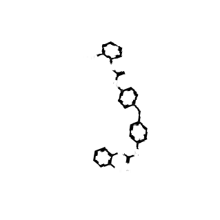 CCCCCc1ccccc1SC(=S)Nc1ccc(Cc2ccc(NC(=S)Sc3ccccc3CCCCC)cc2)cc1